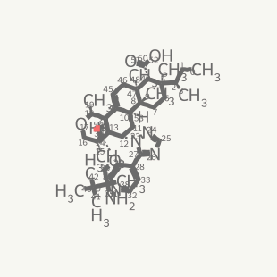 CC[C@@H](C)[C@@]1(C)CC[C@]2(C)[C@H]3CC[C@H]4[C@@]5(C)CO[C@@H](C)[C@@]4(C[C@@H](n4ncnc4-c4ccncc4)[C@@H]5OCC(C)(N)C(C)(C)C)C3=CC[C@@]2(C)[C@@H]1C(=O)O